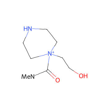 CNC(=O)[N+]1(CCO)CCNCC1